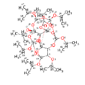 C[SiH](C)OC1C2O[Si]3(O[SiH](C)C)O[Si]45OC([SiH](C)C)(O4)[Si@@]4(O[SiH](C)C)O[Si@](O[SiH](C)C)(O3)O[Si@]23OC52O[Si](O[SiH](C)C)(O[Si]1(O[SiH](C)C)O3)O[Si@]2(O[SiH](C)C)O4